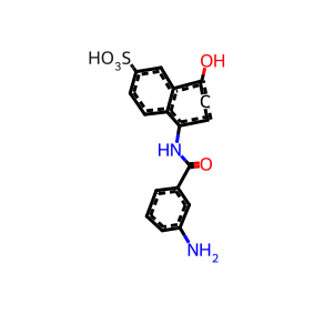 Nc1cccc(C(=O)Nc2ccc(O)c3cc(S(=O)(=O)O)ccc23)c1